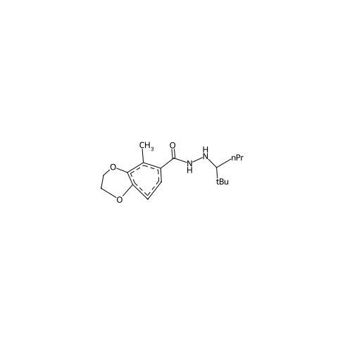 CCCC(NNC(=O)c1ccc2c(c1C)OCCO2)C(C)(C)C